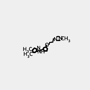 Cc1cc2nc(-c3cccc(OCCCCN4CCN(C)CC4)c3)[nH]c2cc1C